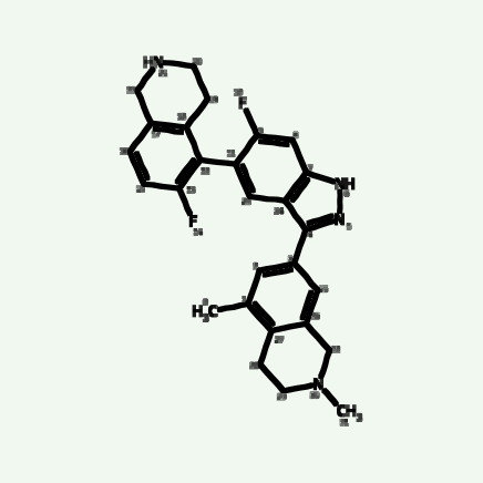 Cc1cc(-c2n[nH]c3cc(F)c(-c4c(F)ccc5c4CCNC5)cc23)cc2c1CCN(C)C2